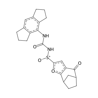 O=C(Nc1c2c(cc3c1CCC3)CCC2)N[S+]([O-])c1cc2c(o1)C1CCC(C1)C2=O